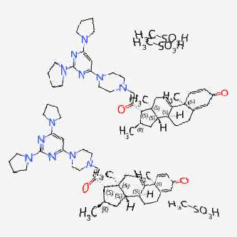 CS(=O)(=O)O.CS(=O)(=O)O.CS(=O)(=O)O.C[C@@H]1C[C@H]2[C@@H]3CCC4=CC(=O)C=C[C@]4(C)C3=CC[C@]2(C)[C@H]1C(=O)CN1CCN(c2cc(N3CCCC3)nc(N3CCCC3)n2)CC1.C[C@@H]1C[C@H]2[C@@H]3CCC4=CC(=O)C=C[C@]4(C)C3=CC[C@]2(C)[C@H]1C(=O)CN1CCN(c2cc(N3CCCC3)nc(N3CCCC3)n2)CC1